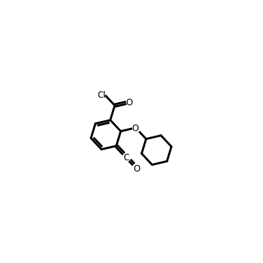 O=C=C1C=CC=C(C(=O)Cl)C1OC1CCCCC1